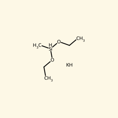 CCO[SiH](C)OCC.[KH]